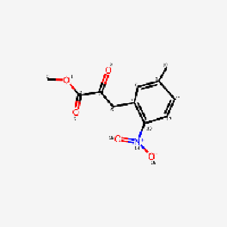 COC(=O)C(=O)Cc1cc(C)ccc1[N+](=O)[O-]